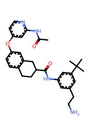 CC(=O)Nc1cc(Oc2ccc3c(c2)CC(C(=O)Nc2cc(CCN)cc(C(C)(C)C)c2)CC3)ccn1